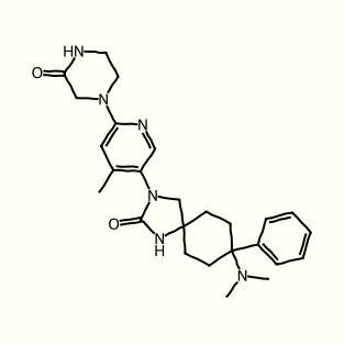 Cc1cc(N2CCNC(=O)C2)ncc1N1CC2(CCC(c3ccccc3)(N(C)C)CC2)NC1=O